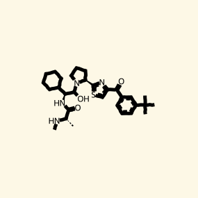 CN[C@@H](C)C(=O)N[C@@H](C1CCCCC1)C(O)N1CCC[C@H]1c1nc(C(=O)c2cccc(C(C)(C)C)c2)cs1